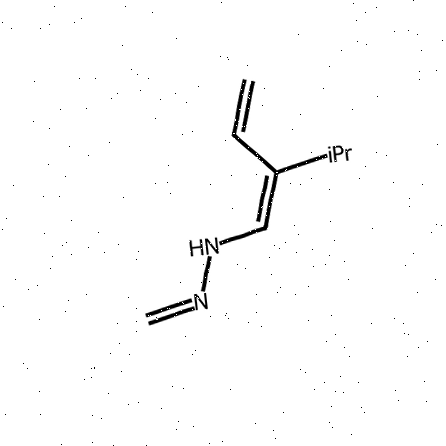 C=C/C(=C\NN=C)C(C)C